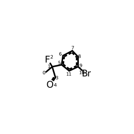 CC(F)(C=O)c1cccc(Br)c1